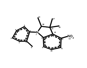 Cc1ccccc1N1c2cccc([N+](=O)[O-])c2C(C)(C)C1C